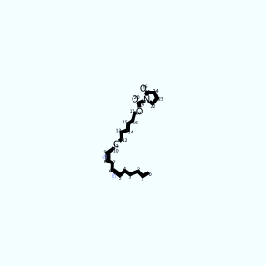 CCCCC/C=C\C/C=C\CCCCCCCCOC(=O)N1CCCC1=O